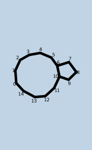 C1CCCCCC2CCCC2CCCC1